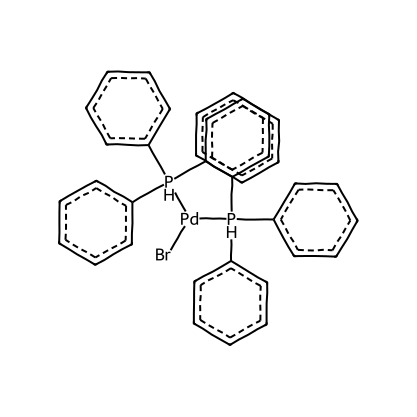 [Br][Pd]([PH](c1ccccc1)(c1ccccc1)c1ccccc1)[PH](c1ccccc1)(c1ccccc1)c1ccccc1